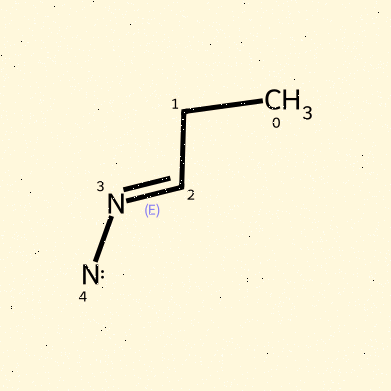 CC/C=N/[N]